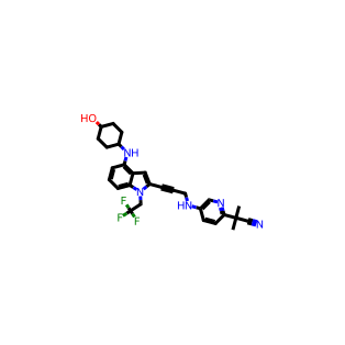 CC(C)(C#N)c1ccc(NCC#Cc2cc3c(NC4CCC(O)CC4)cccc3n2CC(F)(F)F)cn1